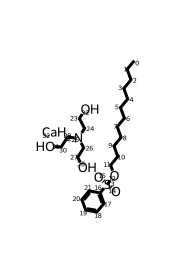 CCCCCCCCCCCCOS(=O)(=O)c1ccccc1.OCCN(CCO)CCO.[CaH2]